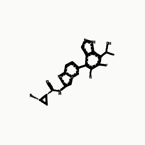 CC(O)c1c(F)c(Cl)c(-c2ccc3nc(NC(=O)[C@@H]4C[C@@H]4F)cn3c2)c2cn[nH]c12